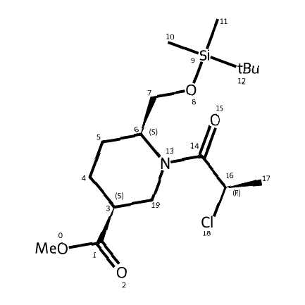 COC(=O)[C@H]1CC[C@@H](CO[Si](C)(C)C(C)(C)C)N(C(=O)[C@@H](C)Cl)C1